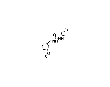 O=C(NCc1cccc(OC(F)(F)F)c1)NC1CC2(CC2)C1